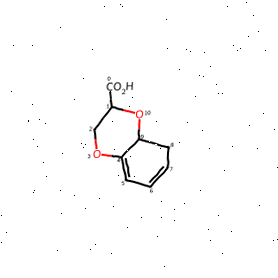 O=C(O)C1COC2=CC=CCC2O1